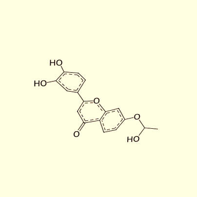 CC(O)Oc1ccc2c(=O)cc(-c3ccc(O)c(O)c3)oc2c1